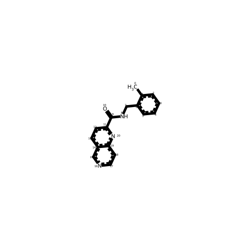 Cc1ccccc1CNC(=O)c1ccc2cnccc2n1